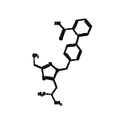 CCc1nc(CC(C)C)n(Cc2ccc(-c3ccccc3C(=O)O)cc2)n1